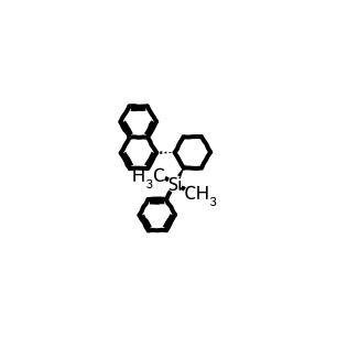 C[Si](C)(c1ccccc1)[C@@H]1CCCC[C@H]1c1cccc2ccccc12